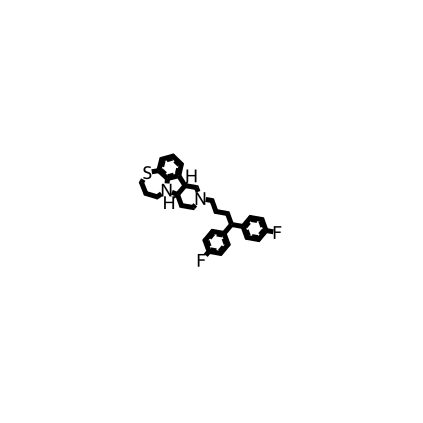 Fc1ccc(C(CCCN2CC[C@@H]3[C@H](C2)c2cccc4c2N3CCCS4)c2ccc(F)cc2)cc1